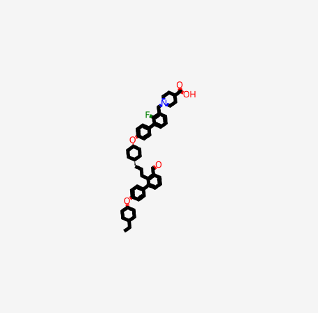 CCC1CCC(Oc2ccc(-c3cccc(C=O)c3CCC[C@H]3CC[C@@H](Oc4ccc(-c5cccc(CN6CCC(C(=O)O)CC6)c5F)cc4)CC3)cc2)CC1